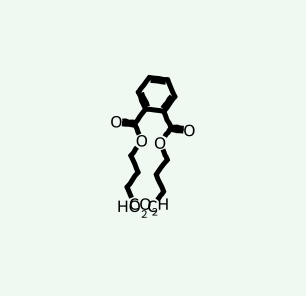 O=C(O)CCCOC(=O)c1ccccc1C(=O)OCCCC(=O)O